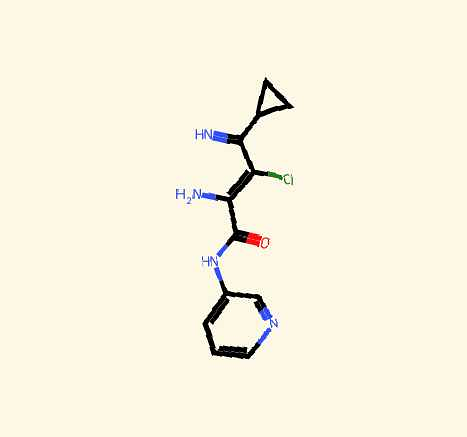 N=C(/C(Cl)=C(\N)C(=O)Nc1cccnc1)C1CC1